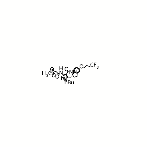 CCCCn1nc(NC(=O)CS(C)(=O)=O)c2c1C[C@]1(CCc3cc(OCCCC(F)(F)F)ccc31)NC2=O